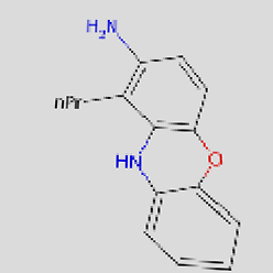 CCCc1c(N)ccc2c1Nc1ccccc1O2